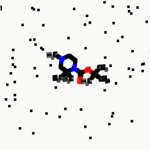 CN1CCN(C(=O)OC(C)(C)C)C(C)(C)C1